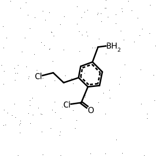 BCc1ccc(C(=O)Cl)c(CCCl)c1